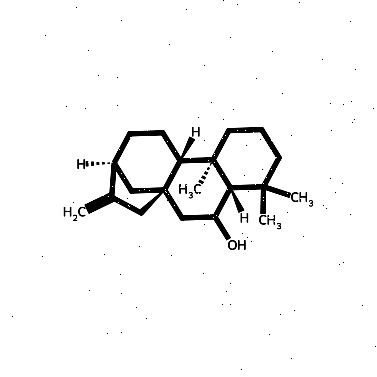 C=C1C[C@]23CC(O)[C@H]4C(C)(C)CCC[C@]4(C)[C@H]2CC[C@H]1C3